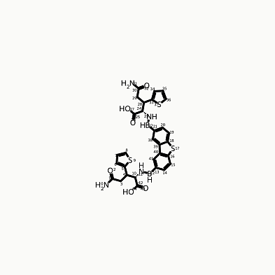 NC(=O)CC(c1cccs1)[C@H](NBc1ccc2sc3ccc(BN[C@H](C(=O)O)C(CC(N)=O)c4cccs4)cc3c2c1)C(=O)O